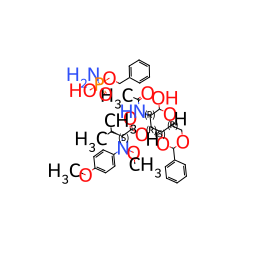 COc1ccc(N(OC)[C@H](C(=O)O[C@H]2[C@@H]3OC(c4ccccc4)OC[C@H]3OC(O)[C@@H]2NC(C)=O)C(C)C)cc1.NP(=O)(O)OCc1ccccc1